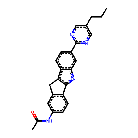 CCCc1cnc(-c2ccc3c4c([nH]c3c2)-c2ccc(NC(C)=O)cc2C4)nc1